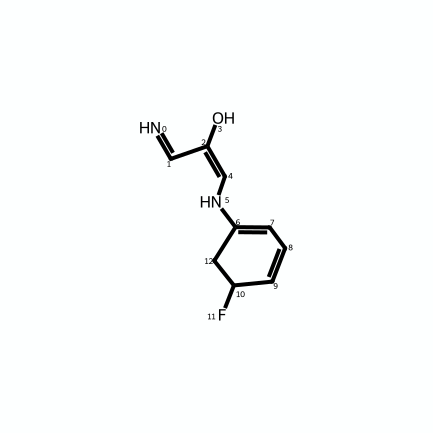 N=C/C(O)=C\NC1=CC=CC(F)C1